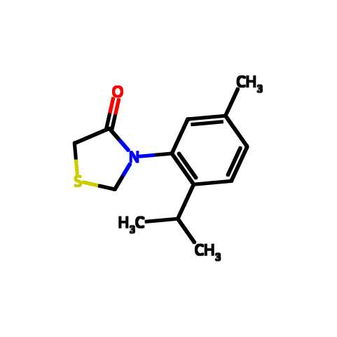 Cc1ccc(C(C)C)c(N2CSCC2=O)c1